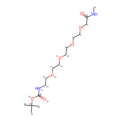 CNC(=O)COCCOCCOCCOCCNC(=O)OC(C)(C)C